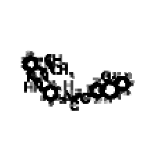 CN(C)c1nc(N[C@H]2CC[C@@H](CNC(=O)COc3ccc4c(c3)CCc3ccccc3C4=O)CC2)nc2ccccc12